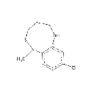 CC1SCCCNc2cc(Cl)ccc21